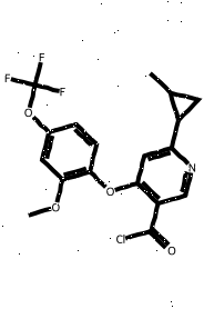 COc1cc(OC(F)(F)F)ccc1Oc1cc(C2CC2C)ncc1C(=O)Cl